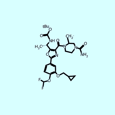 [CH2]C1CN(C(N)=O)CCN1C(=O)c1nc(-c2ccc(OC(F)F)c(OCC3CC3)c2)oc1[C@H](C)NC(=O)OC(C)(C)C